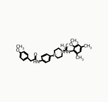 C=C(Nc1c(C)cc(C)cc1OC)N1CCN(c2ccc(NC(=O)Cc3ccc(OC)cc3)cc2)CC1